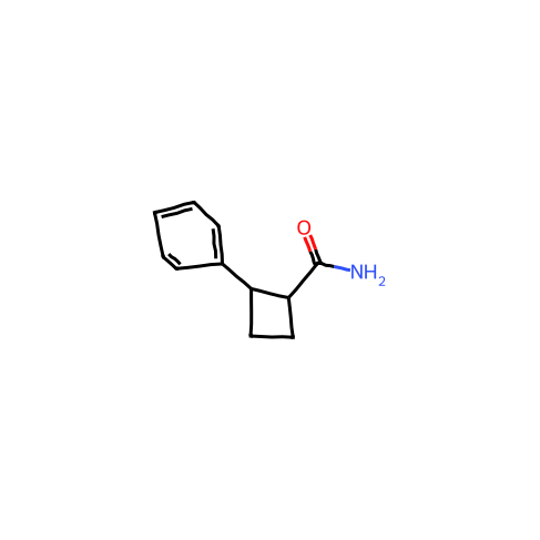 NC(=O)C1CCC1c1ccccc1